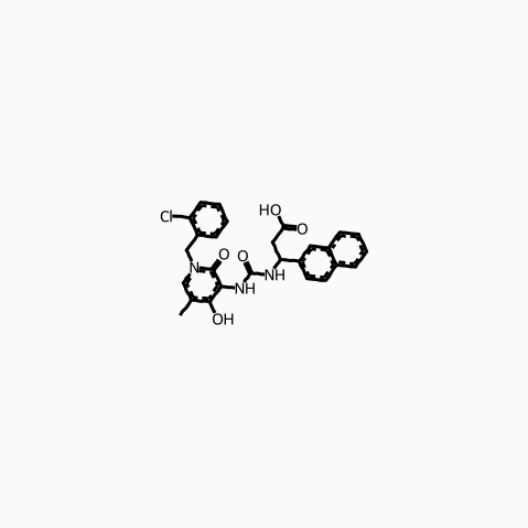 Cc1cn(Cc2ccccc2Cl)c(=O)c(NC(=O)NC(CC(=O)O)c2ccc3ccccc3c2)c1O